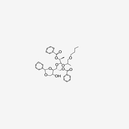 CCCCOCC(C)O[C@@H](O[C@H](COC(=O)c1ccccc1)[C@@H]1OC(c2ccccc2)OCC1O)[C@H](C)OC(=O)c1ccccc1